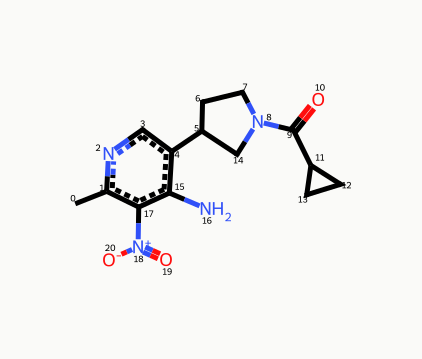 Cc1ncc(C2CCN(C(=O)C3CC3)C2)c(N)c1[N+](=O)[O-]